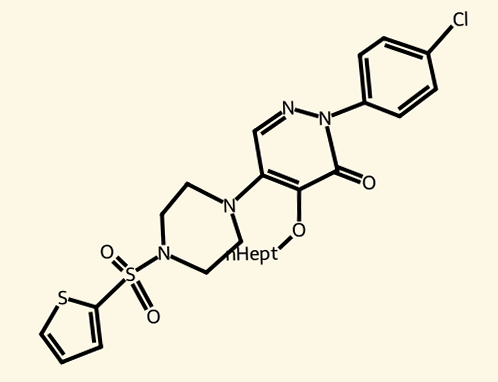 CCCCCCCOc1c(N2CCN(S(=O)(=O)c3cccs3)CC2)cnn(-c2ccc(Cl)cc2)c1=O